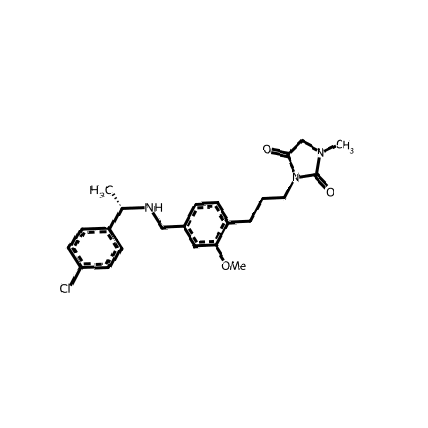 COc1cc(CN[C@@H](C)c2ccc(Cl)cc2)ccc1CCCN1C(=O)CN(C)C1=O